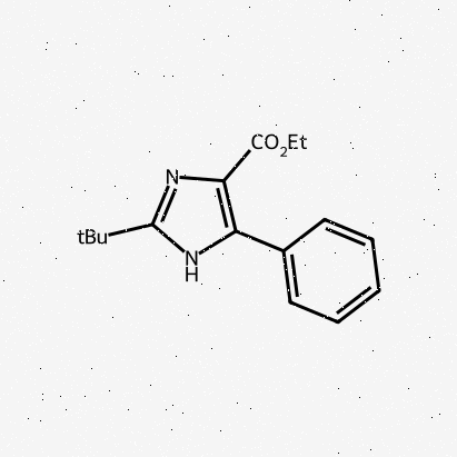 CCOC(=O)c1nc(C(C)(C)C)[nH]c1-c1ccccc1